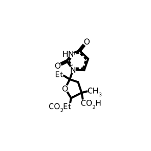 CCOC(=O)C1OC(CC)(n2ccc(=O)[nH]c2=O)CC1(C)C(=O)O